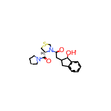 O=C([C@@H]1CSCN1C(=O)CC1Cc2ccccc2C1O)N1CCCC1